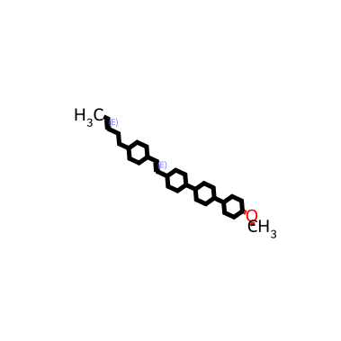 C/C=C/CCC1CCC(/C=C/C2CCC(C3CCC(C4CCC(OC)CC4)CC3)CC2)CC1